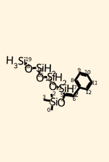 C[Si](C)(C)OC(=Cc1ccccc1)[SiH2]O[SiH2]O[SiH2]O[SiH3]